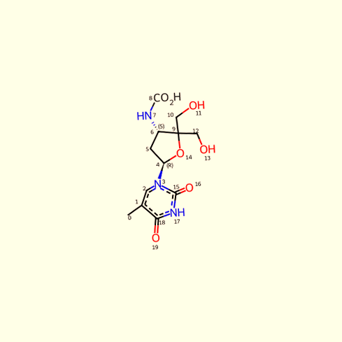 Cc1cn([C@H]2C[C@H](NC(=O)O)C(CO)(CO)O2)c(=O)[nH]c1=O